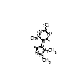 Cc1c(-c2cnc(Cl)nc2Cl)cnn1C